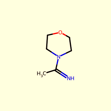 CC(=N)N1CCOCC1